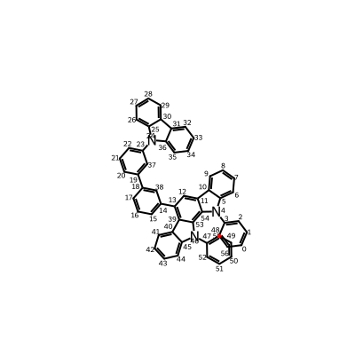 c1ccc(-n2c3ccccc3c3cc(-c4cccc(-c5cccc(-n6c7ccccc7c7ccccc76)c5)c4)c4c5ccccc5n(-c5ccccc5)c4c32)cc1